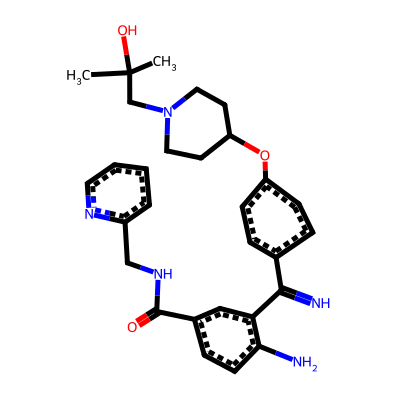 CC(C)(O)CN1CCC(Oc2ccc(C(=N)c3cc(C(=O)NCc4ccccn4)ccc3N)cc2)CC1